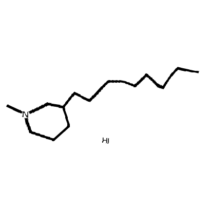 CCCCCCCCC1CCCN(C)C1.I